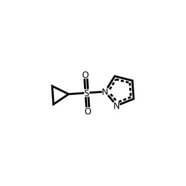 O=S(=O)(C1CC1)n1cccn1